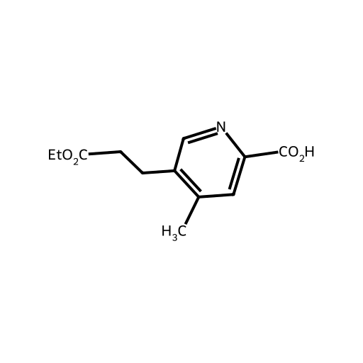 CCOC(=O)CCc1cnc(C(=O)O)cc1C